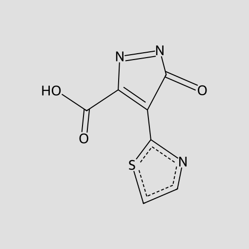 O=C(O)C1=C(c2nccs2)C(=O)N=N1